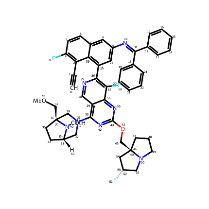 C#Cc1c(F)ccc2cc(N=C(c3ccccc3)c3ccccc3)cc(-c3ncc4c(N5C[C@@H]6CC[C@](COC)(C5)N6C(=O)O)nc(OC[C@@]56CCCN5C[C@H](F)C6)nc4c3F)c12